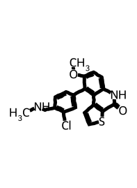 CNCc1ccc(-c2c(OC)ccc3[nH]c(=O)c4sccc4c23)cc1Cl